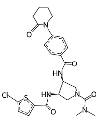 CN(C)C(=O)N1C[C@H](NC(=O)c2ccc(N3CCCCC3=O)cc2)[C@H](NC(=O)c2ccc(Cl)s2)C1